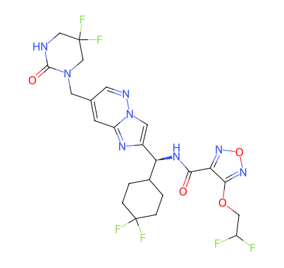 O=C(N[C@H](c1cn2ncc(CN3CC(F)(F)CNC3=O)cc2n1)C1CCC(F)(F)CC1)c1nonc1OCC(F)F